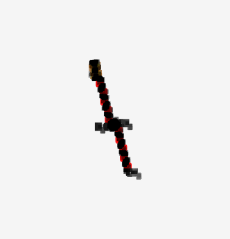 CCOCCOCCOCCOCCOC1C[C@@H](C)C(OCCOCCOCCOCCOCC2=CSC(=C3SC=CS3)S2)C[C@H]1C